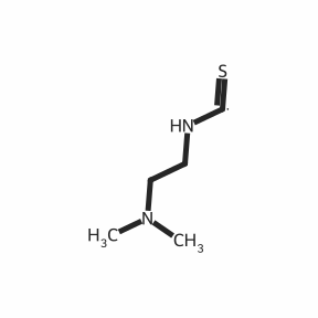 CN(C)CCN[C]=S